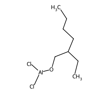 CCCCC(CC)C[O][Al]([Cl])[Cl]